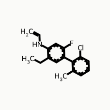 C=CNc1cc(F)c(-c2c(C)cccc2Cl)cc1CC